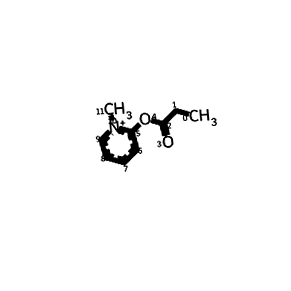 CCC(=O)Oc1cccc[n+]1C